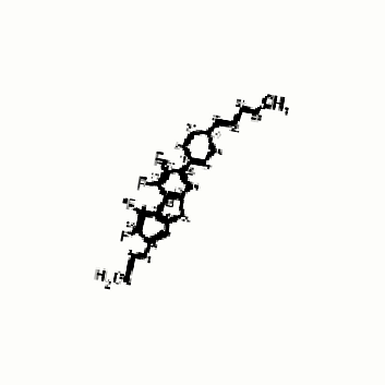 C=CCCc1cc2c(c(F)c1F)-c1c(cc(C3CCC(CCCCC)CC3)c(F)c1F)C2